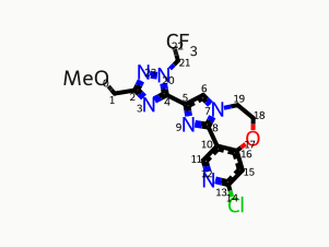 COCc1nc(-c2cn3c(n2)-c2cnc(Cl)cc2OCC3)n(CC(F)(F)F)n1